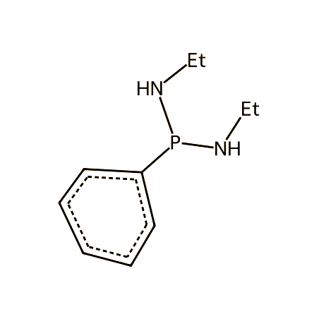 CCNP(NCC)c1ccccc1